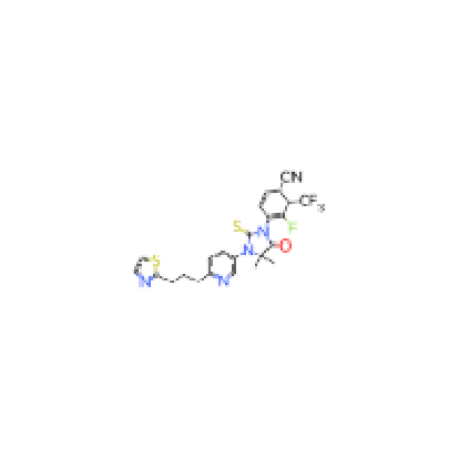 CC1(C)C(=O)N(C2=C(F)C(C(F)(F)F)C(C#N)C=C2)C(=S)N1c1ccc(CCCc2nccs2)nc1